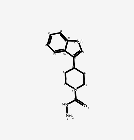 NNC(=O)N1CCC(c2c[nH]c3ccccc23)CC1